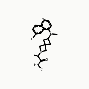 CC(C(=O)NCl)N1CC2(CC(N(C)c3ccnc4ccc(F)cc34)C2)C1